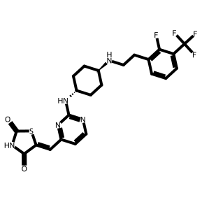 O=C1NC(=O)C(=Cc2ccnc(N[C@H]3CC[C@H](NCCc4cccc(C(F)(F)F)c4F)CC3)n2)S1